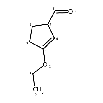 CCOC1=CC(C=O)CC1